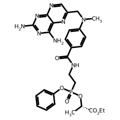 CCOC(=O)[C@H](C)OP(=O)(CCNC(=O)c1ccc(N(C)Cc2cnc3nc(N)nc(N)c3n2)cc1)Oc1ccccc1